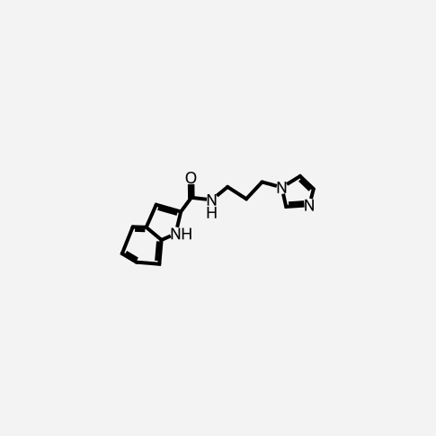 O=C(NCCCn1ccnc1)c1cc2ccccc2[nH]1